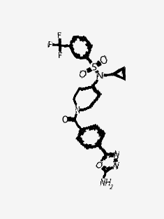 Nc1nnc(-c2ccc(C(=O)N3CCC(N(C4CC4)S(=O)(=O)c4cccc(C(F)(F)F)c4)CC3)cc2)o1